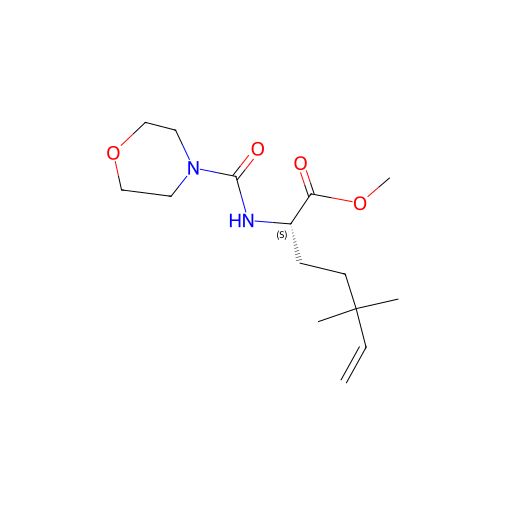 C=CC(C)(C)CC[C@H](NC(=O)N1CCOCC1)C(=O)OC